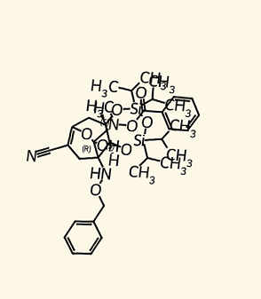 CC(C)[Si]1(C(C)C)O[C@H]2CC3=C(C#N)CC(NOCc4ccccc4)([C@@H]2O[Si](C(C)C)(C(C)C)O1)[C@](O)(N(C)OC(=O)c1ccccc1)O3